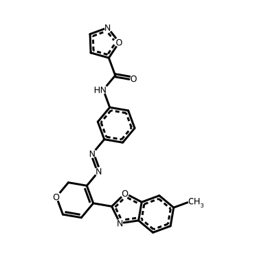 Cc1ccc2nc(C3=C(N=Nc4cccc(NC(=O)c5ccno5)c4)COC=C3)oc2c1